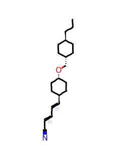 CCC[C@H]1CC[C@H](CO[C@H]2CC[C@H](/C=C/C=C/C#N)CC2)CC1